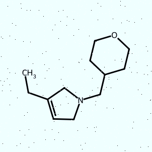 CCC1=CCN(CC2CCOCC2)C1